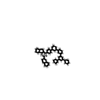 c1ccc(-c2cc(-c3ccccc3)cc(-c3cccc(-c4cccc(-c5ccc(-c6nc(-c7ccc8ccccc8c7)nc7c6ccc6ccccc67)cc5)c4)c3)c2)cc1